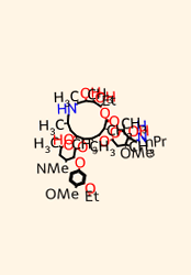 CCCNC[C@]1(O)[C@H](C)O[C@@H](O[C@H]2[C@H](C)[C@@H](O[C@@H]3O[C@H](C)C[C@H](NC)[C@H]3Oc3ccc(OC)c(OCC)c3)[C@](C)(O)C[C@@H](C)CN[C@H](C)[C@@H](O)[C@](C)(O)[C@@H](CC)OC(=O)[C@@H]2C)C[C@@]1(C)OC